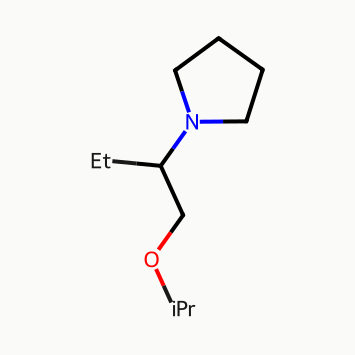 CCC(COC(C)C)N1CCCC1